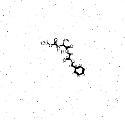 CCC[C@H](NC(=O)OC(C)(C)C)C(=O)NCC(=O)OCc1ccccc1